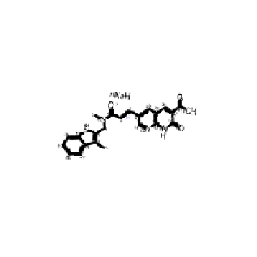 Cc1c(CN(C)C(=O)/C=C/c2cnc3[nH]c(=O)c(C(=O)O)cc3c2)sc2ccccc12.[NaH]